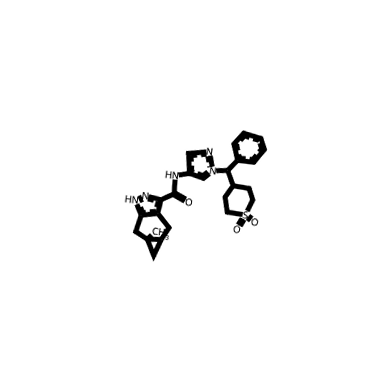 CC12Cc3[nH]nc(C(=O)Nc4cnn(C(c5ccccc5)C5CCS(=O)(=O)CC5)c4)c3CC1C2